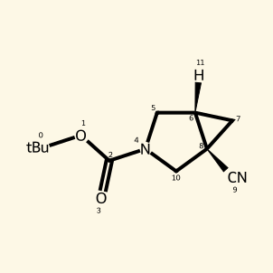 CC(C)(C)OC(=O)N1C[C@@H]2C[C@]2(C#N)C1